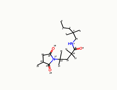 CCCC(C)(C)CNC(=O)C(C)(C)CC(C)(C)N1C(=O)CC(C)C1=O